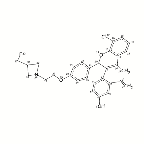 C=Nc1cc(O)ccc1C1=C(C)c2cccc(Cl)c2OC1c1ccc(OCCN2CC(CF)C2)cc1